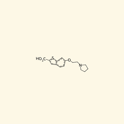 O=C(O)c1cc2ccc(OCCN3CCCC3)cc2s1